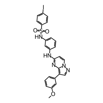 COc1cccc(-c2cnn3ccc(Nc4cccc(NS(=O)(=O)c5ccc(I)cc5)c4)nc23)c1